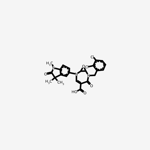 CN1C(=O)C(C)(C)c2cc(N3C=C(C(=O)O)C(=O)N(Cc4cccc(Cl)c4Cl)C4OC43)ccc21